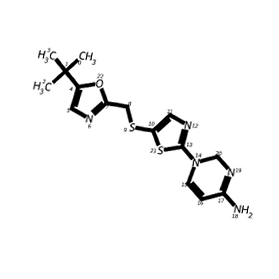 CC(C)(C)c1cnc(CSc2cnc(N3C=CC(N)=NC3)s2)o1